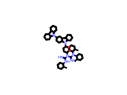 Cc1ccccc1NC(=N)N(C(=N)N(c1ccccc1C)c1ccccc1C)c1ccc(-n2c3ccccc3c3cc(-n4c5ccccc5c5ccccc54)ccc32)cc1